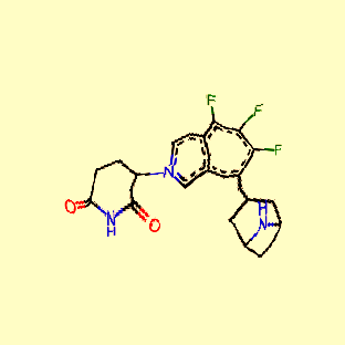 O=C1CCC(n2cc3c(F)c(F)c(F)c(C4CC5CC(C4)N5)c3c2)C(=O)N1